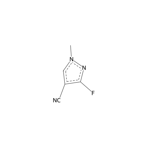 Cn1cc(C#N)c(F)n1